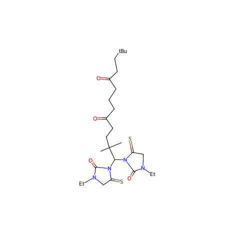 CCN1CC(=S)N(C(N2C(=O)N(CC)CC2=S)C(C)(C)CCC(=O)CCCC(=O)CCC(C)(C)C)C1=O